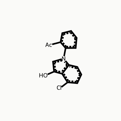 CC(=O)c1ccccc1-n1cc(O)c2c(Cl)cccc21